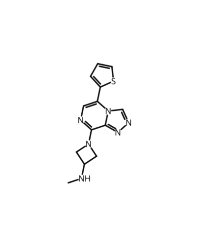 CNC1CN(c2ncc(-c3cccs3)n3cnnc23)C1